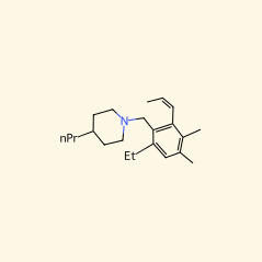 C/C=C\c1c(C)c(C)cc(CC)c1CN1CCC(CCC)CC1